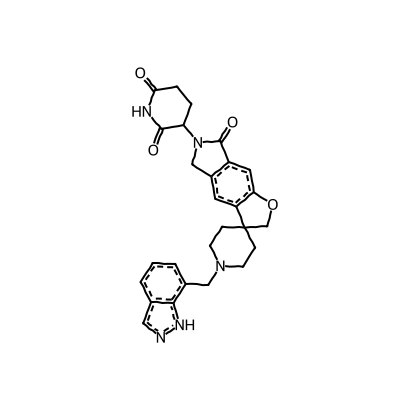 O=C1CCC(N2Cc3cc4c(cc3C2=O)OCC42CCN(Cc3cccc4cn[nH]c34)CC2)C(=O)N1